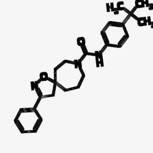 CC(C)(C)c1ccc(NC(=O)N2CCCC3(CC2)CC(c2ccccc2)=NO3)cc1